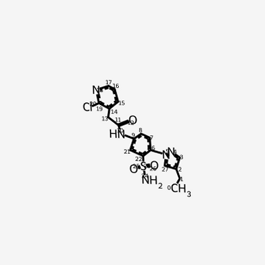 CCc1cnn(-c2ccc(NC(=O)Cc3cccnc3Cl)cc2S(N)(=O)=O)c1